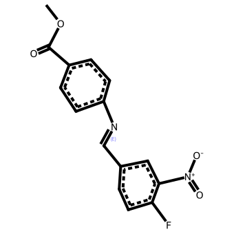 COC(=O)c1ccc(/N=C/c2ccc(F)c([N+](=O)[O-])c2)cc1